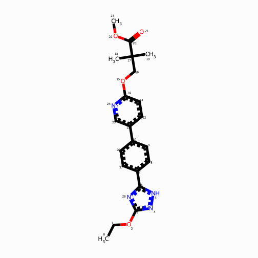 CCOc1n[nH]c(-c2ccc(-c3ccc(OCC(C)(C)C(=O)OC)nc3)cc2)n1